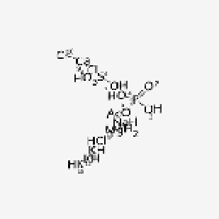 CC(=O)OP(=O)(O)O.Cl.O=S(=O)(O)O.[Cl][Ca][Cl].[KH].[KH].[KH].[MgH2].[NaH]